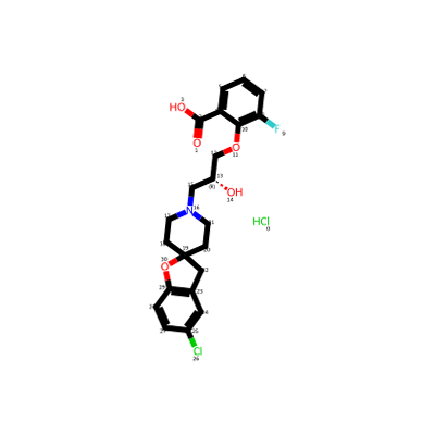 Cl.O=C(O)c1cccc(F)c1OC[C@H](O)CN1CCC2(CC1)Cc1cc(Cl)ccc1O2